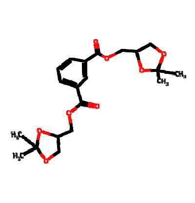 CC1(C)OCC(COC(=O)c2cccc(C(=O)OCC3COC(C)(C)O3)c2)O1